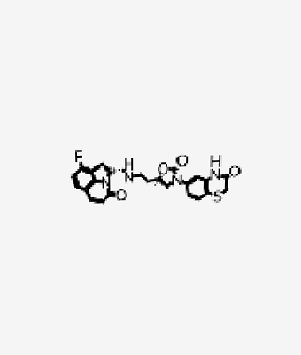 O=C1CSc2ccc(N3C[C@@H](CCNC[C@H]4Cc5c(F)ccc6ccc(=O)n4c56)OC3=O)cc2N1